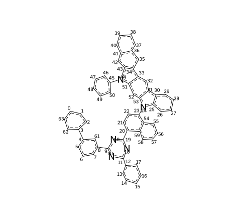 c1ccc(-c2cccc(-c3nc(-c4ccccc4)nc(-c4ccc(-n5c6ccccc6c6cc7c8cc9ccccc9cc8n(-c8ccccc8)c7cc65)c5ccccc45)n3)c2)cc1